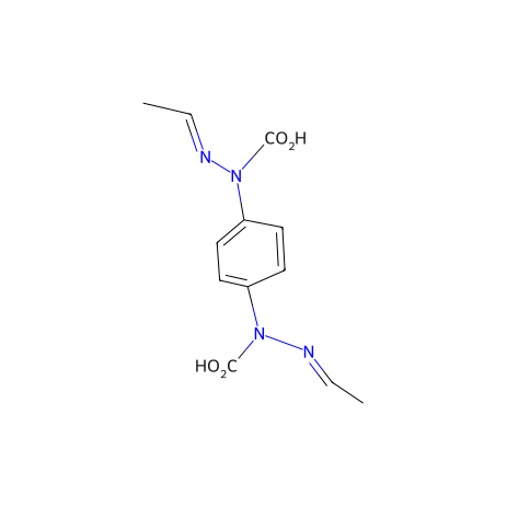 CC=NN(C(=O)O)c1ccc(N(N=CC)C(=O)O)cc1